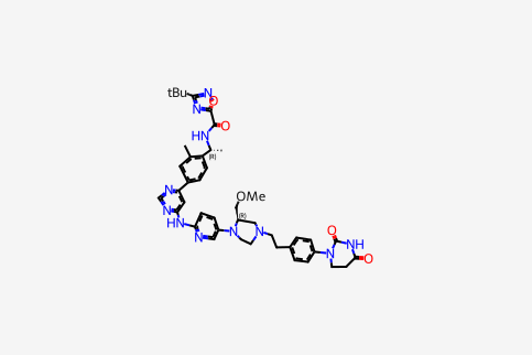 COC[C@H]1CN(CCc2ccc(N3CCC(=O)NC3=O)cc2)CCN1c1ccc(Nc2cc(-c3ccc([C@@H](C)NC(=O)c4nc(C(C)(C)C)no4)c(C)c3)ncn2)nc1